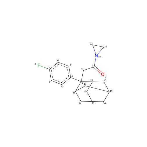 O=C(CC1(c2ccc(F)cc2)C2CC3CC(C2)CC1C3)N1CC1